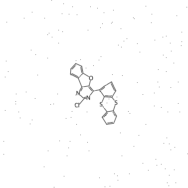 Clc1nc(-c2cccc3c2Sc2ccccc2S3)c2oc3ccccc3c2n1